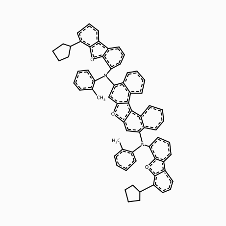 Cc1ccccc1N(c1cc2oc3cc(N(c4ccccc4C)c4cccc5c4oc4c(C6CCCC6)cccc45)c4ccccc4c3c2c2ccccc12)c1cccc2c1oc1c(C3CCCC3)cccc12